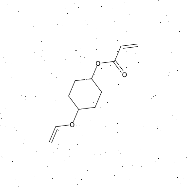 C=COC1CCC(OC(=O)C=C)CC1